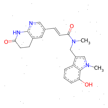 CN(Cc1cn(C)c2c(O)cccc12)C(=O)C=Cc1cnc2c(c1)CCC(=O)N2